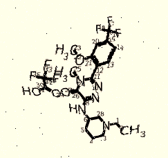 CCN1CCCC(Nc2nnc(-c3ccc(C(F)(F)F)cc3OC)n(C)c2=O)C1.O=C(O)C(F)(F)F